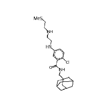 CSCCNCCNc1ccc(Cl)c(C(=O)NCC23CC4CC(CC(C4)C2)C3)c1